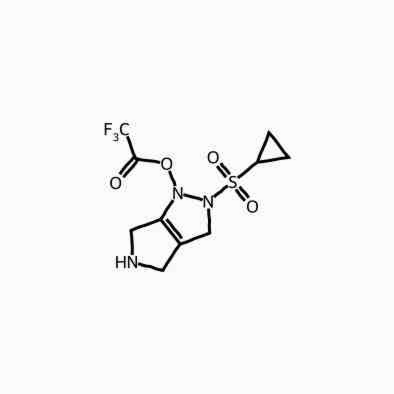 O=C(ON1C2=C(CNC2)CN1S(=O)(=O)C1CC1)C(F)(F)F